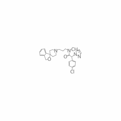 CN(CCCN1CCC2(CC1)OCc1ccccc12)C(=O)C(c1ccc(Cl)cc1)n1cccn1